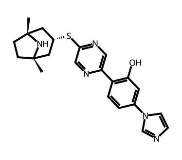 C[C@]12CC[C@](C)(C[C@H](Sc3cnc(-c4ccc(-n5ccnc5)cc4O)cn3)C1)N2